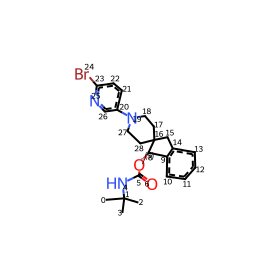 CC(C)(C)NC(=O)O[C@@H]1c2ccccc2CC12CCN(c1ccc(Br)nc1)CC2